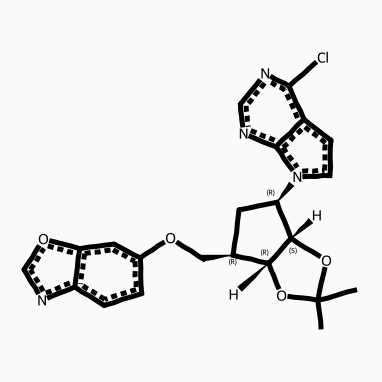 CC1(C)O[C@@H]2[C@@H](COc3ccc4ncoc4c3)C[C@@H](n3ccc4c(Cl)ncnc43)[C@@H]2O1